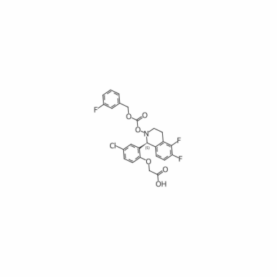 O=C(O)COc1ccc(Cl)cc1[C@@H]1c2ccc(F)c(F)c2CCN1OC(=O)OCc1cccc(F)c1